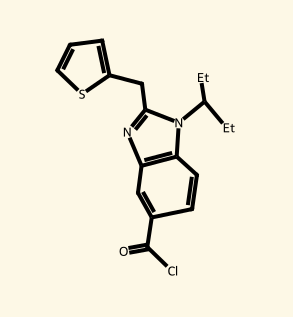 CCC(CC)n1c(Cc2cccs2)nc2cc(C(=O)Cl)ccc21